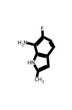 Cc1cc2ccc(F)c(N)c2[nH]1